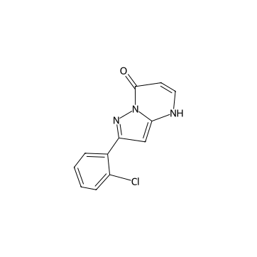 O=c1cc[nH]c2cc(-c3ccccc3Cl)nn12